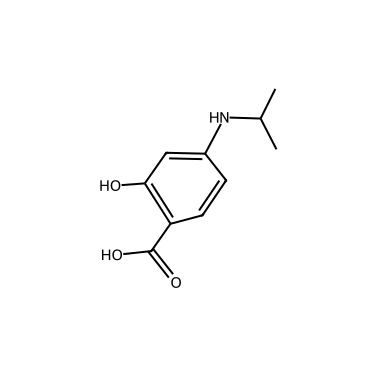 CC(C)Nc1ccc(C(=O)O)c(O)c1